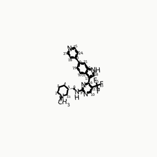 CN1CCC[C@H](CNc2ncc(C(F)(F)F)c(-c3c[nH]c4cc(-c5ccncc5)ccc34)n2)C1